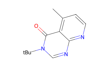 Cc1ccnc2ncn(C(C)(C)C)c(=O)c12